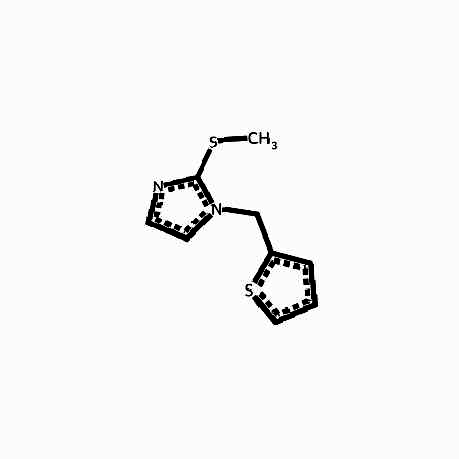 CSc1nccn1Cc1cccs1